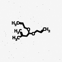 C=CCOC(CC(=C)C)OCC=C